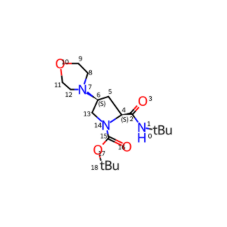 CC(C)(C)NC(=O)[C@@H]1C[C@H](N2CCOCC2)CN1C(=O)OC(C)(C)C